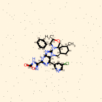 C[C@@H]1OCCN(c2nc3nc(-c4noc(=O)[nH]4)nc(-c4cncc(Cl)c4)c3n2C[C@H]2CC[C@H](C)CC2)[C@@H]1c1ccccc1